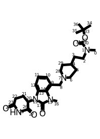 CN(CCC1CCN(Cc2cccc3c2n(C)c(=O)n3C2CCC(=O)NC2=O)CC1)C(=O)OC(C)(C)C